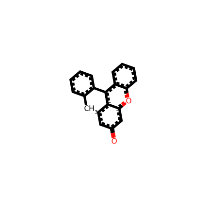 Cc1ccccc1-c1c2ccc(=O)cc-2oc2ccccc12